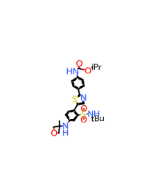 CC(C)OC(=O)Nc1ccc(-c2ncc(-c3ccc(NC4(C)COC4)cc3S(=O)(=O)NC(C)(C)C)s2)cc1